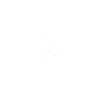 O=S(=O)(OCC(F)(F)F)C(C(F)F)C(F)C(F)F